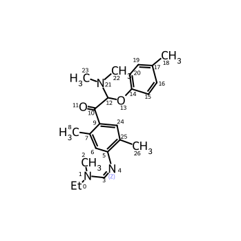 CCN(C)/C=N\c1cc(C)c(C(=O)C(Oc2ccc(C)cc2)N(C)C)cc1C